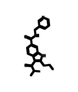 CCCc1[nH]c2cc(C(=O)NCc3cccnc3)ccc2c1C(=O)C(C)C